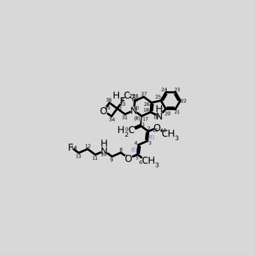 C=C(/C(=C\C=C(/C)OCCNCCCF)OC)[C@@H]1c2[nH]c3ccccc3c2C[C@@H](C)N1CC1(F)COC1